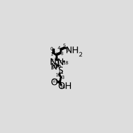 C=C/C(=C\C=C/N)c1nnc(SCCC(=O)O)n1C